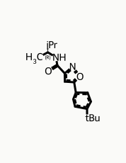 CC(C)[C@@H](C)NC(=O)c1cc(-c2ccc(C(C)(C)C)cc2)on1